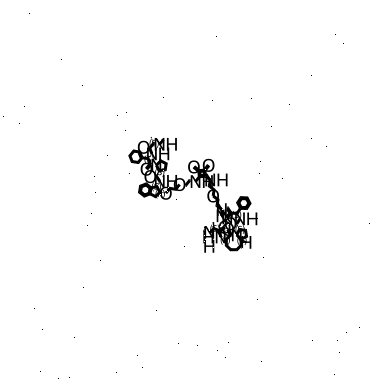 CN[C@@H](C)C(=O)N[C@H](C(=O)N1CCC[C@H]1C(=O)N[C@H]1c2ccccc2C[C@H]1OCCOCCNc1c(NCCOCCn2cc([C@@H](NC(=O)[C@@H]3CC[C@@H]4CCCC[C@H](NC(=O)[C@H](C)NC)C(=O)N43)c3ccccc3)nn2)c(=O)c1=O)C1=CCCCC1